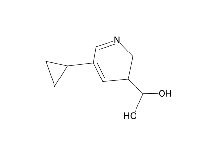 OC(O)C1C=C(C2CC2)C=NC1